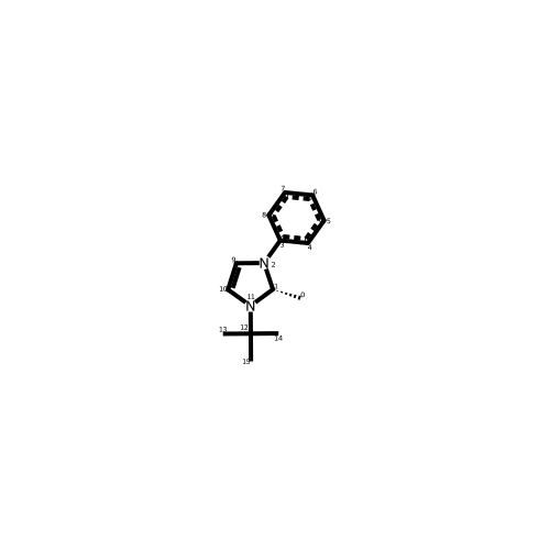 C[C@H]1N(c2ccccc2)C=CN1C(C)(C)C